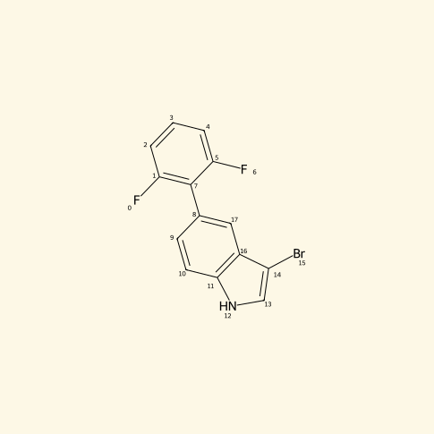 Fc1cccc(F)c1-c1ccc2[nH]cc(Br)c2c1